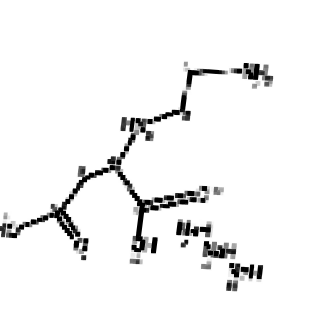 NCCNC(CC(=O)O)C(=O)O.[NaH].[NaH].[NaH]